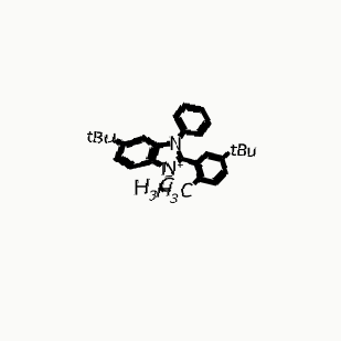 Cc1ccc(C(C)(C)C)cc1-c1n(-c2ccccc2)c2cc(C(C)(C)C)ccc2[n+]1C